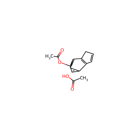 CC(=O)O.CC(=O)OC1=C2CC(=C1)C1=C2CC=C1